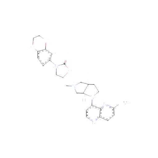 COc1ccc2nccc(N3CC[C@@H]4CN(C[C@@H]5CN(c6ccc7c(c6)OCCO7)C(=O)O5)C[C@@H]43)c2n1